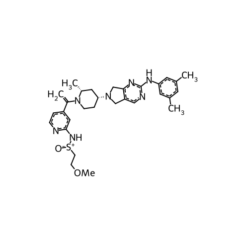 C=C(c1ccnc(N[S+]([O-])CCOC)c1)N1CC[C@@H](N2Cc3cnc(Nc4cc(C)cc(C)c4)nc3C2)C[C@H]1C